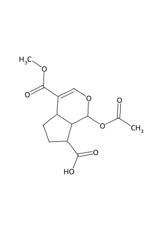 COC(=O)C1=COC(OC(C)=O)C2C(C(=O)O)CCC12